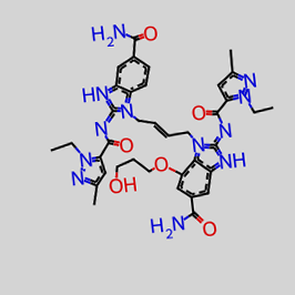 CCn1nc(C)cc1C(=O)/N=c1/[nH]c2cc(C(N)=O)ccc2n1C/C=C/Cn1/c(=N\C(=O)c2cc(C)nn2CC)[nH]c2cc(C(N)=O)cc(OCCCO)c21